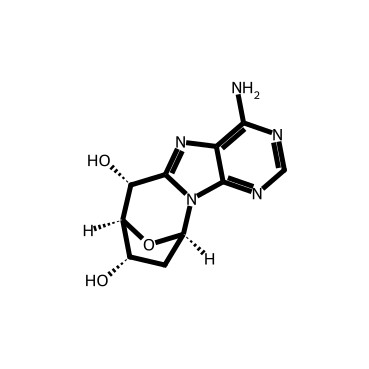 Nc1ncnc2c1nc1n2[C@H]2C[C@H](O)[C@H](O2)[C@@H]1O